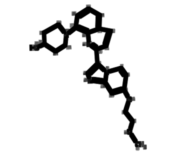 COCCOc1ccn2c(-c3ccc4cccc(N5CCC(O)CC5)c4n3)cnc2c1